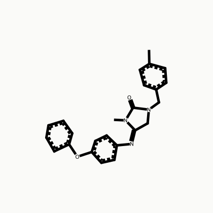 Cc1ccc(CN2CC(=Nc3ccc(Oc4ccccc4)cc3)N(C)C2=O)cc1